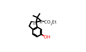 CCOC(=O)[C@@H]1C(C)(C)[C@]12CCc1ccc(O)cc12